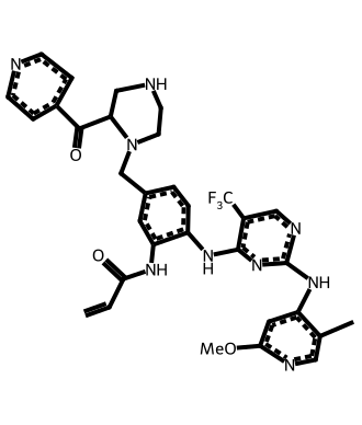 C=CC(=O)Nc1cc(CN2CCNCC2C(=O)c2ccncc2)ccc1Nc1nc(Nc2cc(OC)ncc2C)ncc1C(F)(F)F